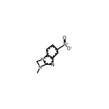 CN1Cn2c1nc1cc([N+](=O)[O-])ccc12